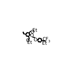 C=Cc1cc(COCC)c(OCCOc2ccc(C(C)(CC)C(F)(F)F)cc2)c(COCC)c1